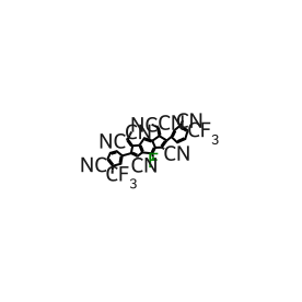 N#CC(C#N)=C1C(c2ccc(C(F)(F)F)c(C#N)c2)=C(C#N)c2c1cc1c(c2F)C(C#N)=C(c2ccc(C#N)c(C(F)(F)F)c2)C1=C(C#N)C#N